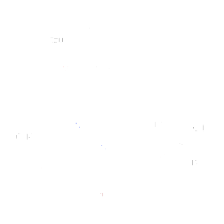 CC(C)(C)[Si](C)(C)OCCN1CN(CCO[Si](C)(C)C(C)(C)C)C(C(=O)C=O)C1CBr